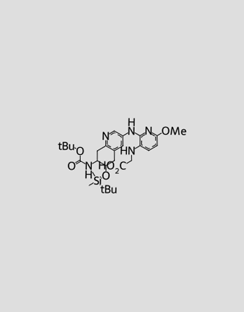 COc1ccc(NCC(=O)O)c(Nc2cnc3c(c2)CC(O[Si](C)(C)C(C)(C)C)C(NC(=O)OC(C)(C)C)C3)n1